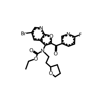 CCOC(=O)N(CCC1CCCO1)c1c(C(=O)c2ccc(F)nc2)oc2ncc(Br)cc12